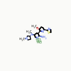 COc1ccc(-c2nccs2)nc1-c1cc(N(C)C2CCN(C)C2)cnc1N.Cl.Cl.Cl